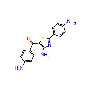 Nc1ccc(C(=O)c2sc(-c3ccc(N)cc3)nc2N)cc1